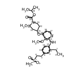 CCc1cc(CCS(C)(=O)=O)ccc1Nc1nccc(OC2CCN(C(=O)OC(C)C)[C@@H](C)C2)c1OC